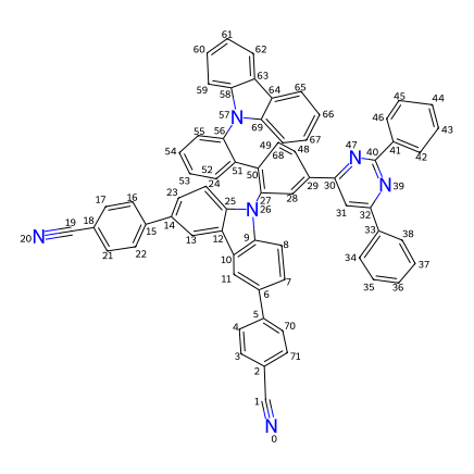 N#Cc1ccc(-c2ccc3c(c2)c2cc(-c4ccc(C#N)cc4)ccc2n3-c2cc(-c3cc(-c4ccccc4)nc(-c4ccccc4)n3)ccc2-c2ccccc2-n2c3ccccc3c3ccccc32)cc1